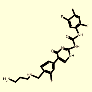 Cc1cc(F)c(NC(=O)Nc2nc(=O)c(-c3ccc(CNCCCN)c(F)c3)c[nH]2)cc1F